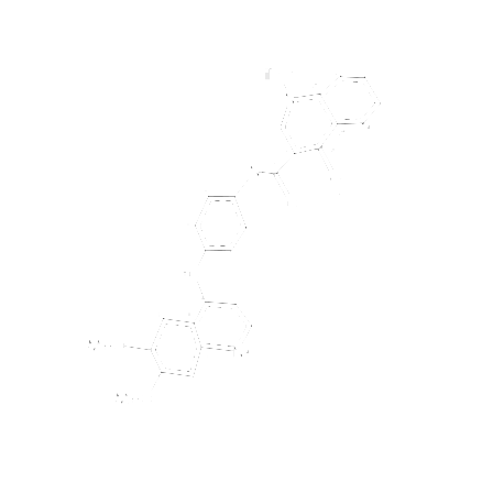 COc1cc2nccc(Oc3ccc(NC(=O)c4cn(C(C)C)c5ccccc5c4=O)cc3)c2cc1OC